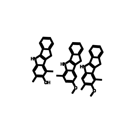 COc1c(C)cc2[nH]c3c(c2c1C)Cc1ccccc1-3.COc1cc(C)c2[nH]c3c(c2c1)Cc1ccccc1-3.Cc1cc2[nH]c3c(c2c(C)c1O)Cc1ccccc1-3